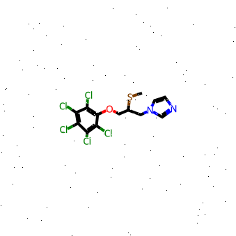 CSC(COc1c(Cl)c(Cl)c(Cl)c(Cl)c1Cl)Cn1ccnc1